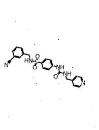 N#Cc1cccc(CNS(=O)(=O)c2ccc(NC(=O)NCc3ccncc3)cc2)c1